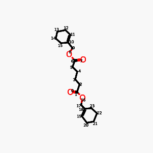 O=C(CCCCC(=O)OCC1=CCCCC1)OCC1=CCCCC1